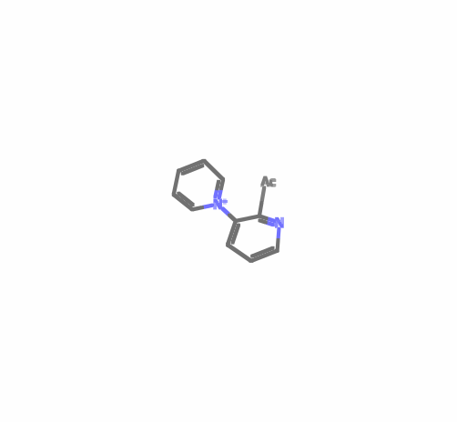 CC(=O)c1ncccc1-[n+]1ccccc1